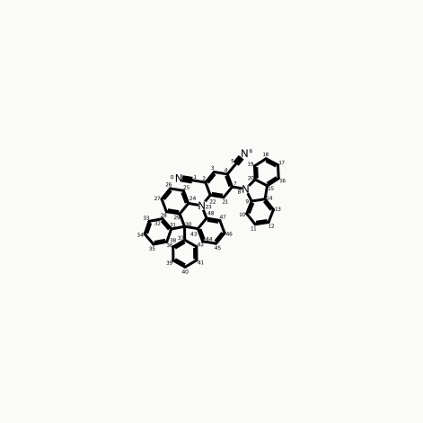 N#Cc1cc(C#N)c(-n2c3ccccc3c3ccccc32)cc1N1c2ccccc2C(c2ccccc2)(c2ccccc2)c2ccccc21